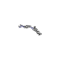 C=C/C(=C\C=C(/C)COc1ccc(O/C=C/C=C(C)\C=C/C)cc1)C(=O)c1ccc(C2=CC=C(C(C)=O)CC2)cc1